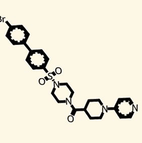 O=C(C1CCN(c2ccncc2)CC1)N1CCN(S(=O)(=O)c2ccc(-c3ccc(Br)cc3)cc2)CC1